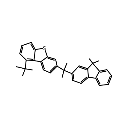 CC(C)(C)c1cccc2sc3cc(C(C)(C)c4ccc5c(c4)C(C)(C)c4ccccc4-5)ccc3c12